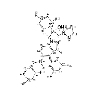 Cc1nn([C@H](C)[C@](O)(Cn2cncn2)c2ccc(F)cc2F)c2ccc(N(Cc3ccc(F)cc3F)Cc3ccc(F)cc3F)cc12